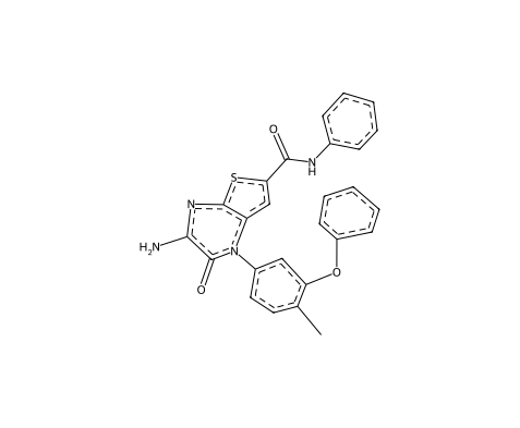 Cc1ccc(-n2c(=O)c(N)nc3sc(C(=O)Nc4ccccc4)cc32)cc1Oc1ccccc1